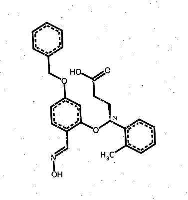 Cc1ccccc1[C@H](CCC(=O)O)Oc1cc(OCc2ccccc2)ccc1C=NO